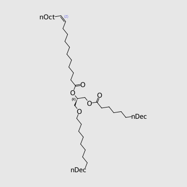 CCCCCCCC/C=C\CCCCCCCCCC(=O)O[C@H](COCCCCCCCCCCCCCCCCCC)COC(=O)CCCCCCCCCCCCCCC